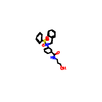 O=C(NCCCO)c1cccc(N(Cc2ccccc2)S(=O)(=O)c2ccccc2)c1